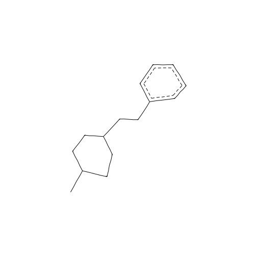 CC1CCC(CCc2ccccc2)CC1